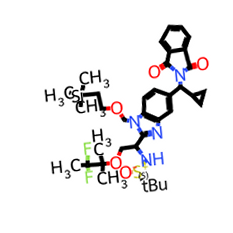 CC(C)(C)[S@@+]([O-])NC(COC(C)(C)C(C)(F)F)c1nc2cc(C(C3CC3)N3C(=O)c4ccccc4C3=O)ccc2n1COCC[Si](C)(C)C